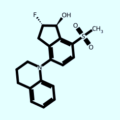 CS(=O)(=O)c1ccc(N2CCCc3ccccc32)c2c1[C@H](O)[C@@H](F)C2